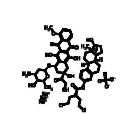 COc1cccc2c1C(=O)c1c(O)c3c(c(O)c1C2=O)C[C@@](O)(C(=O)CO)C[C@@H]3O[C@H]1C[C@H](N)[C@H](O)[C@H](C)O1.C[C@]12CC[C@@H]3c4ccc(OC(=O)N(CCCl)CCCl)cc4CC[C@H]3[C@@H]1CC[C@@H]2O.O=P([O-])([O-])[O-].[Na+].[Na+].[Na+]